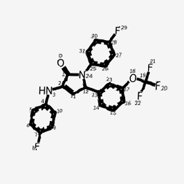 O=C1C(Nc2ccc(F)cc2)=CC(c2cccc(OC(F)(F)F)c2)N1c1ccc(F)cc1